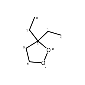 CCC1(CC)CCOO1